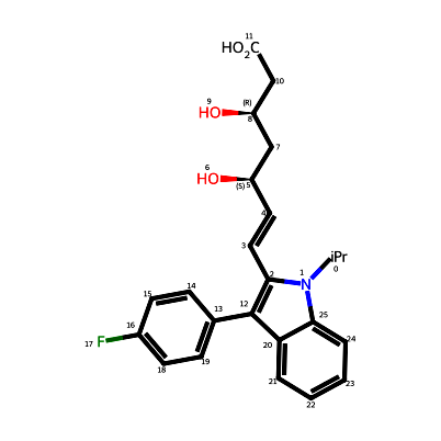 CC(C)n1c(C=C[C@@H](O)C[C@@H](O)CC(=O)O)c(-c2ccc(F)cc2)c2ccccc21